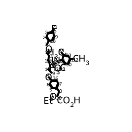 CCOC(Cc1ccc(OCCN(CCCOCc2ccc(F)cc2)C(=O)Nc2c(C)cc(C)cc2C)cc1)C(=O)O